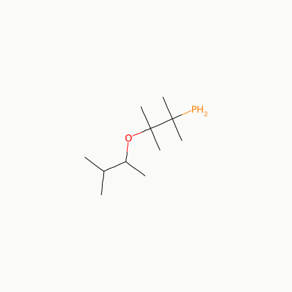 CC(C)C(C)OC(C)(C)C(C)(C)P